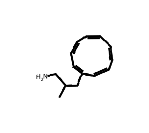 CC(CN)Cc1ccccccccc1